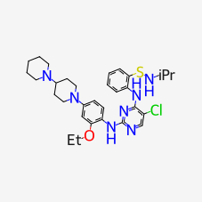 CCOc1cc(N2CCC(N3CCCCC3)CC2)ccc1Nc1ncc(Cl)c(Nc2ccccc2SNC(C)C)n1